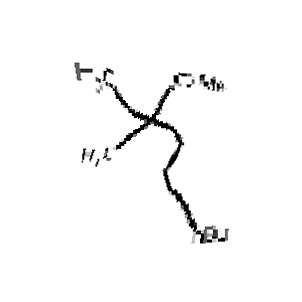 CCCCCCC(C)(C)OC